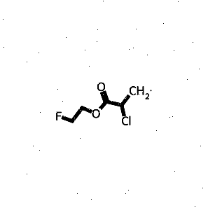 [CH2]C(Cl)C(=O)OCCF